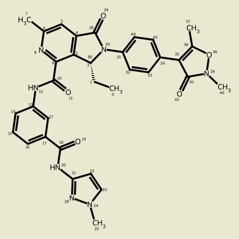 CC[C@@H]1c2c(cc(C)nc2C(=O)Nc2cccc(C(=O)Nc3ccn(C)n3)c2)C(=O)N1c1ccc(-c2c(C)on(C)c2=O)cc1